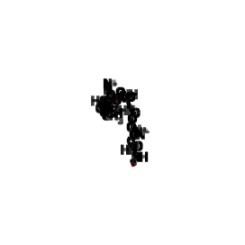 CP(=O)(O)OP(=O)(O)OP(=O)(O)OC[C@H]1O[C@@H](n2cc(C#CCNC(=O)COCCOC(COc3cccc(C(=O)NCCNC4CCC4)c3)N=[N+]=[N-])c(=O)[nH]c2=O)CC1OCN=[N+]=[N-]